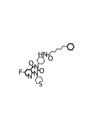 O=C(CCCCCc1ccccc1)NC1CCC(n2c(=O)c3cc(F)cnc3n(C3CCSCC3)c2=O)CC1